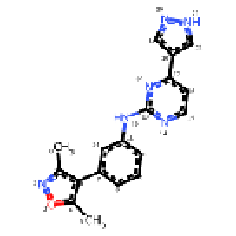 Cc1noc(C)c1-c1cccc(Nc2nccc(-c3cn[nH]c3)n2)c1